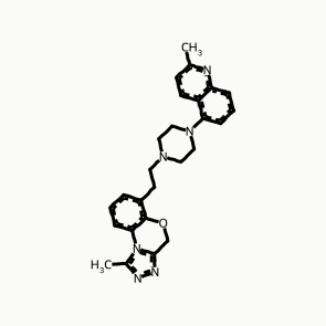 Cc1ccc2c(N3CCN(CCc4cccc5c4OCc4nnc(C)n4-5)CC3)cccc2n1